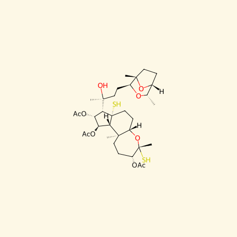 CC(=O)O[C@H]1[C@H](OC(C)=O)[C@H]([C@@](C)(O)CC[C@@H]2O[C@@H](C)[C@H]3CC[C@]2(C)O3)[C@@]2(S)CC[C@@H]3O[C@](C)(S)[C@H](OC(C)=O)CC[C@@]3(C)[C@H]12